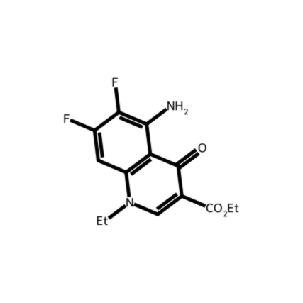 CCOC(=O)c1cn(CC)c2cc(F)c(F)c(N)c2c1=O